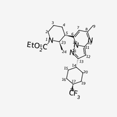 CCOC(=O)N1CCC[C@@H](c2cc(C)nc3cc([C@H]4CC[C@H](C(F)(F)F)CC4)nn23)[C@H]1C